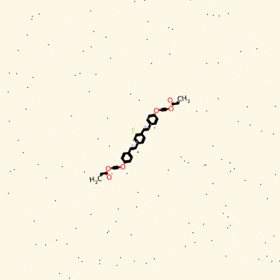 C=CC(=O)OC#COc1ccc(/C=C/c2ccc(/C=C/c3ccc(OC#COC(=O)C=C)cc3)c(F)c2)cc1